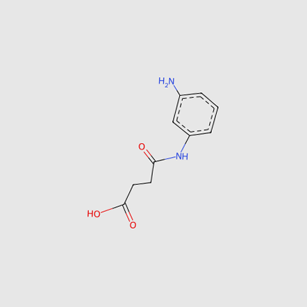 Nc1cccc(NC(=O)CCC(=O)O)c1